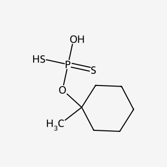 CC1(OP(O)(=S)S)CCCCC1